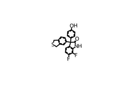 O=C1Nc2c(ccc(F)c2F)C1(c1ccc(O)cc1)c1ccc2c(c1)CSC2